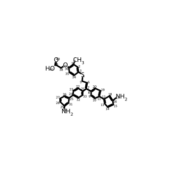 Cc1cc(SCC=C(c2ccc(-c3cccc(N)c3)cc2)c2ccc(-c3cccc(N)c3)cc2)ccc1OCC(=O)O